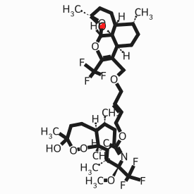 CO[C@](/N=C(\C)OC/C=C/COCC1=C(C(F)(F)F)O[C@@H]2O[C@]3(C)CC[C@H]4[C@H](C)CC[C@@H]1[C@@]24OO3)([C@H](C)[C@@H]1CC[C@@H](C)[C@@H]2CCC(C)(O)OO[C@]21C)C(F)(F)F